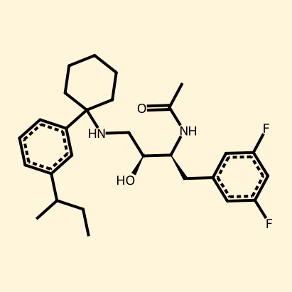 CCC(C)c1cccc(C2(NC[C@H](O)[C@H](Cc3cc(F)cc(F)c3)NC(C)=O)CCCCC2)c1